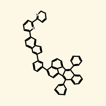 C1=CC(c2cccc(-c3ccc4cc(-c5cccc(-c6ccc7c8c(cccc68)-c6c-7c(-c7ccccc7)c7ccccc7c6-c6ccccc6)c5)ccc4c3)n2)=NCC1